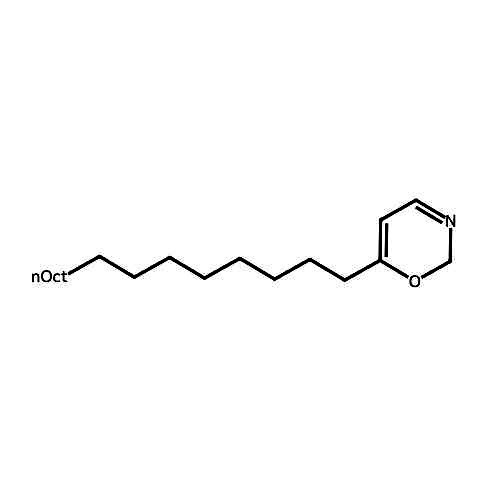 CCCCCCCCCCCCCCCCC1=CC=NCO1